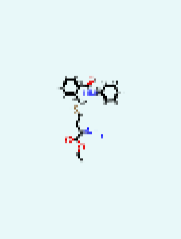 CCOC(=O)C(N)CCS[Se]c1ccccc1C(=O)Nc1ccccc1